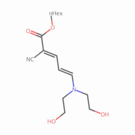 CCCCCCOC(=O)C(C#N)=CC=CN(CCO)CCO